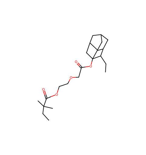 CCC1C2CC3CC(C2)CC1(OC(=O)COCCOC(=O)C(C)(C)CC)C3